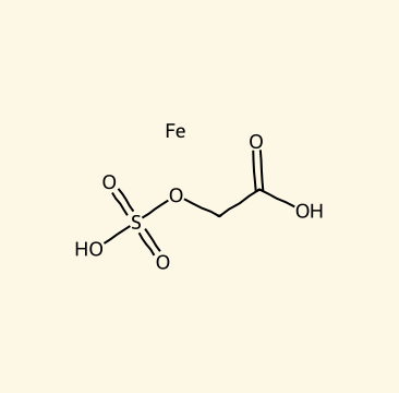 O=C(O)COS(=O)(=O)O.[Fe]